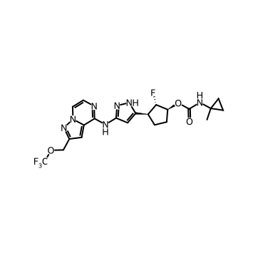 CC1(NC(=O)O[C@H]2CC[C@@H](c3cc(Nc4nccn5nc(COC(F)(F)F)cc45)n[nH]3)[C@@H]2F)CC1